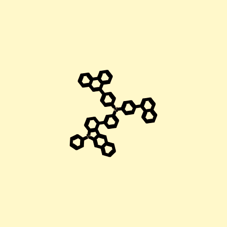 C1=Cc2c(c3cc4ccccc4cc3n2-c2ccccc2)C(c2cccc(N(c3ccc(-c4cccc5ccccc45)cc3)c3ccc(-c4cc5ccccc5c5ccccc45)cc3)c2)C1